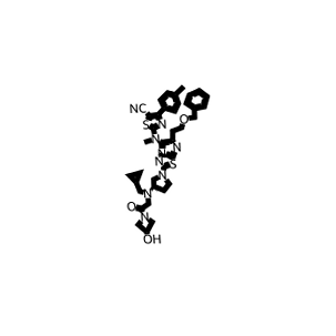 Cc1ccc(-c2nc(N(C)c3c(CCOCc4ccccc4)nc4sc(N5CC[C@@H](N(CC(=O)N6CC(O)C6)CC6CC6)C5)nn34)sc2C#N)cc1